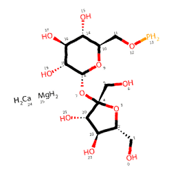 OC[C@H]1O[C@@](CO)(O[C@H]2O[C@H](COP)[C@@H](O)[C@H](O)[C@H]2O)[C@@H](O)[C@@H]1O.[CaH2].[MgH2]